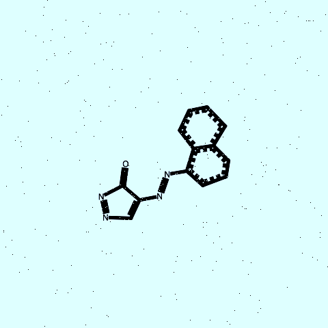 O=C1N=NC=C1N=Nc1cccc2ccccc12